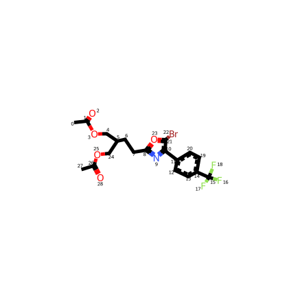 CC(=O)OCC(CCc1nc(-c2ccc(C(F)(F)F)cc2)c(Br)o1)COC(C)=O